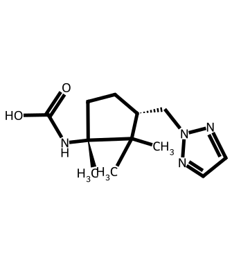 CC1(C)[C@@H](Cn2nccn2)CC[C@@]1(C)NC(=O)O